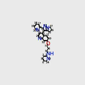 c1ccc(NCCCOc2ccc3c(-c4c(-c5ccccn5)nn5c4CCC5)ccnc3c2)nc1